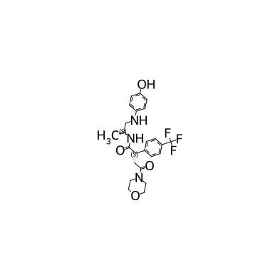 C[C@@H](CNc1ccc(O)cc1)NC(=O)[C@@H](CC(=O)N1CCOCC1)c1ccc(C(F)(F)F)cc1